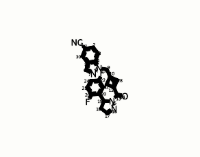 N#Cc1ccc2c(cnn2CC23CC(C(=O)N4N=CCC4c4cc(F)ccc4F)(C2)C3)c1